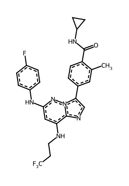 Cc1cc(-c2cnc3c(NCCC(F)(F)F)cc(Nc4ccc(F)cc4)nn23)ccc1C(=O)NC1CC1